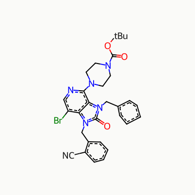 CC(C)(C)OC(=O)N1CCN(c2ncc(Br)c3c2n(Cc2ccccc2)c(=O)n3Cc2ccccc2C#N)CC1